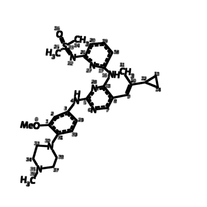 COc1cc(Nc2ncc(/C=C(\C)C3CC3)c(Nc3cccc(N=S(C)(C)=O)n3)n2)ccc1N1CCN(C)CC1